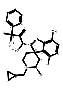 C=C(C(OC)[C@@H]1Oc2c(O)ccc(C)c2[C@@]12CCN(CC1CC1)[C@H](C)C2)C(C)(O)c1ccccc1